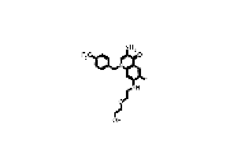 Nc1cn(Cc2ccc(C(F)(F)F)cc2)c2cc(NCCOCCO)c(F)cc2c1=O